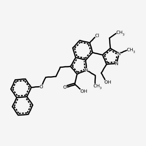 CCc1c(-c2c(Cl)ccc3c(CCCOc4cccc5ccccc45)c(C(=O)O)n(CC)c23)c(CO)nn1C